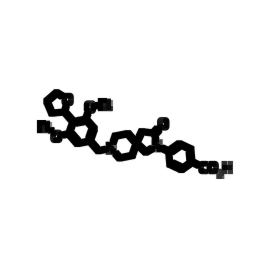 CCOc1cc(CN2CCC3(CC2)CC(=O)N(c2ccc(C(=O)O)cc2)C3)cc(OCC)c1C1CCCO1